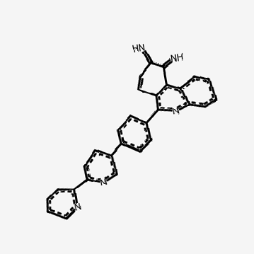 N=C1C=Cc2c(-c3ccc(-c4ccc(-c5ccccn5)nc4)cc3)nc3ccccc3c2C1=N